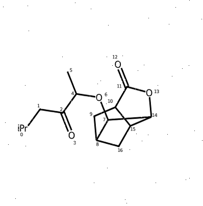 CC(C)CC(=O)C(C)OC1C2CC3C(=O)OC1C3C2